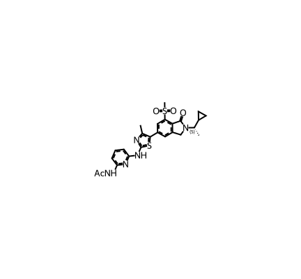 CC(=O)Nc1cccc(Nc2nc(C)c(-c3cc4c(c(S(C)(=O)=O)c3)C(=O)N([C@@H](C)C3CC3)C4)s2)n1